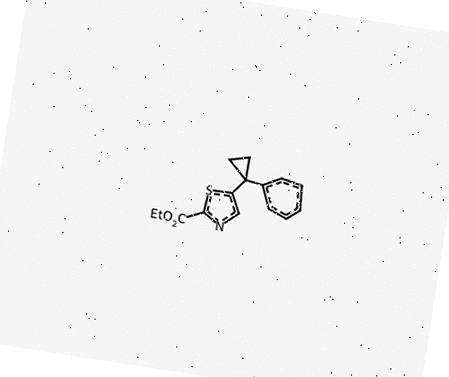 CCOC(=O)c1ncc(C2(c3ccccc3)CC2)s1